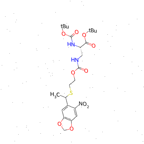 CC(SCCOC(=O)NC[C@H](NC(=O)OC(C)(C)C)C(=O)OC(C)(C)C)c1cc2c(cc1[N+](=O)[O-])OCO2